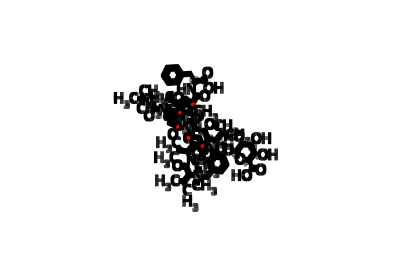 CC[C@H](C)[C@@H]([C@@H](CC(=O)N1CCCC1[C@H](OC)[C@@H](C)C(=O)N[C@@H](Cc1ccccc1)C(=O)O)OC)N(C)C(=O)C(NC(=O)C(C(C)C)[N+](C)(C)Cc1ccc(O[C@@H]2O[C@H](C(=O)O)[C@@H](O)[C@H](O)[C@H]2O)c(NC(=O)CCNC(=O)C(CNC(=O)OC(C)(C)C)N2C(=O)C=CC2=O)c1)C(C)C